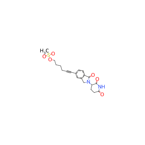 CS(=O)(=O)OCCCCC#Cc1ccc2c(c1)CN(C1CCC(=O)NC1=O)C2=O